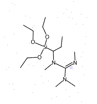 CCO[Si](OCC)(OCC)C(CC)N(C)/C(=N\C)N(C)C